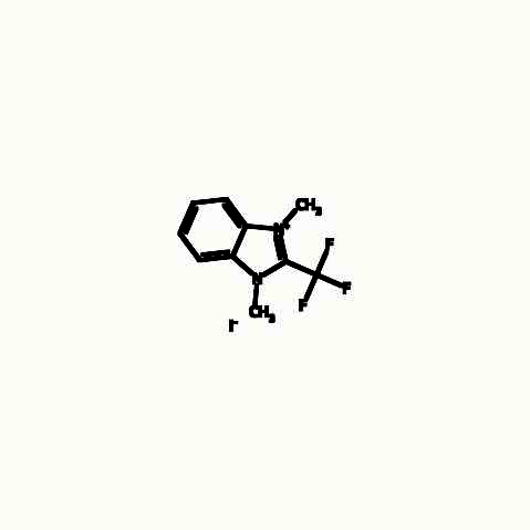 Cn1c(C(F)(F)F)[n+](C)c2ccccc21.[I-]